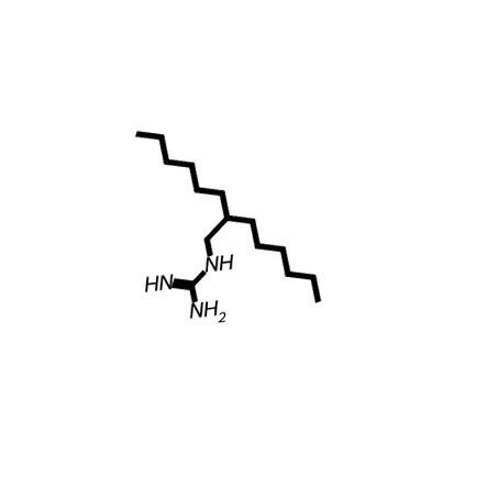 CCCCCCC(CCCCCC)CNC(=N)N